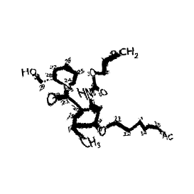 C=CCOC(=O)Nc1cc(OCCCCCC(C)=O)c(C)cc1C(=O)N1CCCC[C@H]1CO